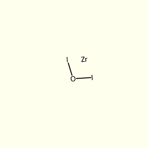 IOI.[Zr]